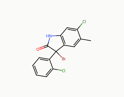 Cc1cc2c(cc1Cl)NC(=O)C2(Br)c1ccccc1Cl